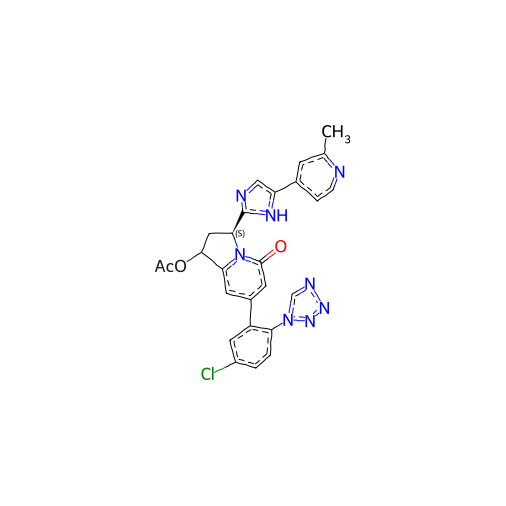 CC(=O)OC1C[C@@H](c2ncc(-c3ccnc(C)c3)[nH]2)n2c1cc(-c1cc(Cl)ccc1-n1cnnn1)cc2=O